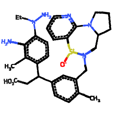 CCN(N)c1ccc(C(CC(=O)O)c2ccc(C)c(CN3CC4CCCN4c4ncccc4[S+]3[O-])c2)c(C)c1N